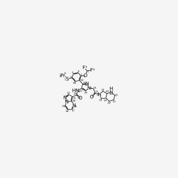 CC(C)Sc1ccc(OC(F)F)c(-c2nn(CC(=O)N3CC4CCCNC4C3)cc2NC(=O)c2cnn3cccnc23)c1